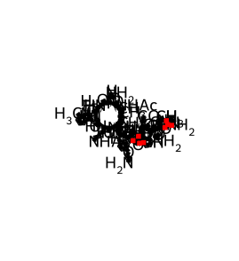 CC[C@@H]1NC(=O)[C@H](CC(N)=O)NC(=O)[C@@H](NC(C)=O)C(C)(C)SSC(C)(C)[C@@H](C(=O)N[C@@H](Cc2ccc(OCCN)cc2)C(=O)N[C@@H](Cc2ccc3ccccc3c2)C(=O)NC2(C(=O)N[C@@H](CCC(=O)O)C(=O)N[C@@H](CC(N)=O)C(=O)N[C@@H](Cc3cccnc3)C(=O)N(C)CC(N)=O)CCOCC2)NC(=O)[C@H](CCCCNC(C)=O)NC(=O)[C@H](Cc2c[nH]c3c(C)cccc23)NC1=O